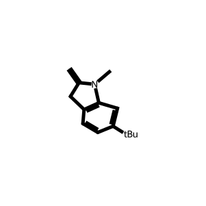 C=C1Cc2ccc(C(C)(C)C)cc2N1C